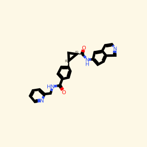 O=C(NCc1ccccn1)c1ccc([C@H]2C[C@@H]2C(=O)Nc2ccc3cnccc3c2)cc1